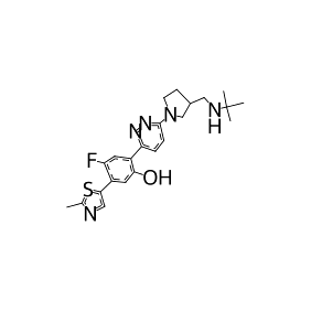 Cc1ncc(-c2cc(O)c(-c3ccc(N4CCC(CNC(C)(C)C)C4)nn3)cc2F)s1